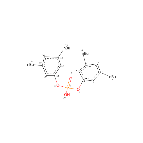 CCCCc1cc(CCCC)cc(OP(=O)(O)Oc2cc(CCCC)cc(CCCC)c2)c1